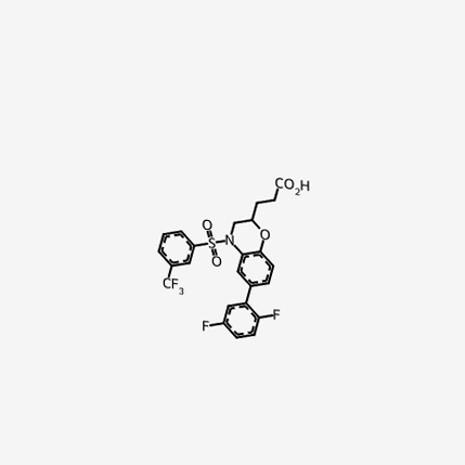 O=C(O)CCC1CN(S(=O)(=O)c2cccc(C(F)(F)F)c2)c2cc(-c3cc(F)ccc3F)ccc2O1